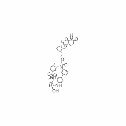 Cc1ccc(S(=O)(=O)N2CC[C@@H]3[C@H](CO)Nc4ccc(-c5cccc(NC(=O)COCCc6cccc7c6CN(C6CCC(=O)NC6=O)C7=O)c5)cc4[C@@H]32)cc1